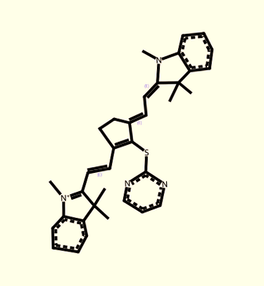 CN1/C(=C/C=C2\CCC(/C=C/C3=[N+](C)c4ccccc4C3(C)C)=C2Sc2ncccn2)C(C)(C)c2ccccc21